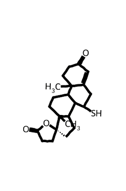 CC12CCC(=O)C=C1CC(S)C1C2CCC2(C)C1CC[C@@]21CCC(=O)O1